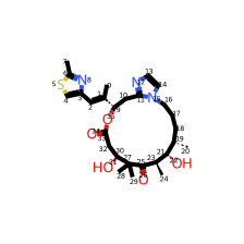 C/C(=C\c1csc(C)n1)[C@@H]1Cc2nccn2CCC[C@H](C)[C@H](O)[C@@H](C)C(=O)C(C)(C)[C@@H](O)CC(=O)O1